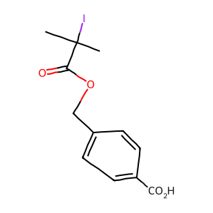 CC(C)(I)C(=O)OCc1ccc(C(=O)O)cc1